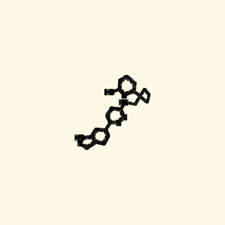 Oc1cccc(C2(CNc3ccc(-c4ccc5cn[nH]c5c4)nn3)CCC2)n1